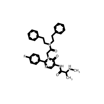 CNC(C)C(=O)Nc1cnc(-c2ccc(F)cc2)n(CC(=O)N(CCc2ccccc2)CCc2ccccc2)c1=O